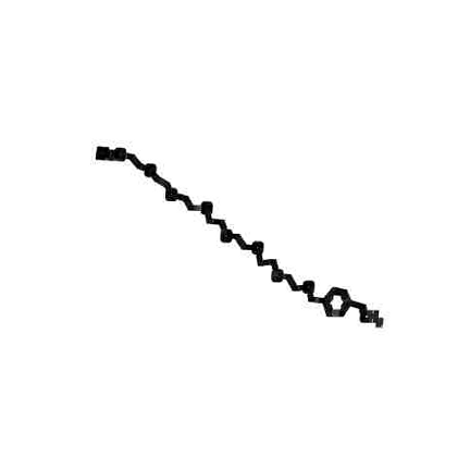 C=Cc1ccc(COCCOCCOCCOCCOCCOCCOCCOC)cc1